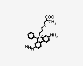 CC(CSCCC[n+]1c(-c2ccccc2)c2cc(N=[N+]=[N-])ccc2c2ccc(N)cc21)C(=O)[O-]